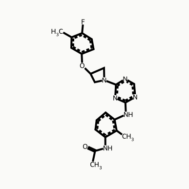 CC(=O)Nc1cccc(Nc2ncnc(N3CC(Oc4ccc(F)c(C)c4)C3)n2)c1C